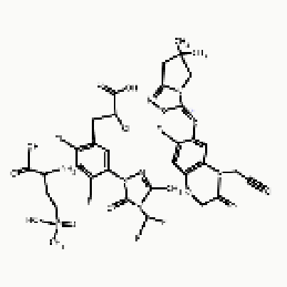 C#CCN1C(=O)COc2cc(F)c(/N=c3\snc4n3CC(C)(C)C4)cc21.CP(=O)(O)CCC(N)C(=O)O.Cc1nn(-c2cc(CC(Cl)C(=O)O)c(Cl)cc2F)c(=O)n1C(F)F